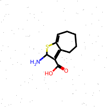 NC1SC2=CCCCCC2=C1C(=O)O